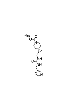 CC(C)(C)OC(=O)N1CCC2(CC1)CC2CNC(=O)NCc1cnco1